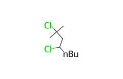 CCCCC(Cl)CC(C)(C)Cl